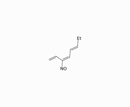 C=C/C(=C\C=C\CC)N=O